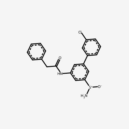 N[S+]([O-])c1cc(NC(=O)Cc2ccccc2)cc(-c2cccc(Cl)c2)c1